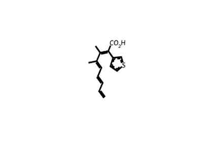 C=CC=CC=C(C)C(C)=C(C(=O)O)c1ccsc1